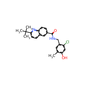 Cc1cc(CNC(=O)c2ccc3nc(C(C)(C)C)ccc3c2)c(Cl)cc1O